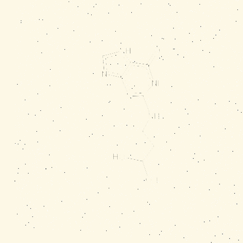 O=c1[nH]c(NCCC(O)O)nc2nc[nH]c12